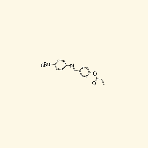 C=CC(=O)Oc1ccc(C=Nc2ccc(CCCC)cc2)cc1